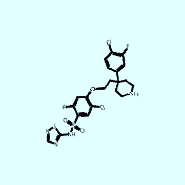 O=S(=O)(Nc1ncns1)c1cc(Cl)c(OCCC2(c3ccc(Cl)c(F)c3)CCNCC2)cc1F